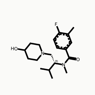 Cc1cc(C(=O)N(C)[C@@H](CN2CCC(O)CC2)C(C)C)ccc1F